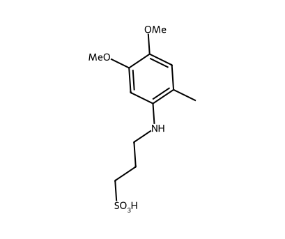 COc1cc(C)c(NCCCS(=O)(=O)O)cc1OC